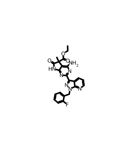 CCOC(=O)C1(C)C(=O)Nc2nc(-c3nn(Cc4ccccc4F)c4ncccc34)nc(N)c21